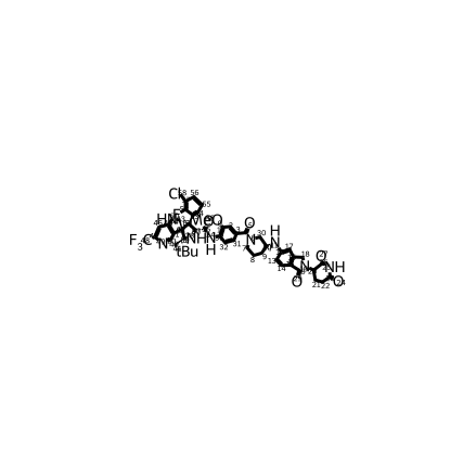 COc1cc(C(=O)N2CCC[C@@H](Nc3ccc4c(c3)CN(C3CCC(=O)NC3=O)C4=O)C2)ccc1NC(=O)[C@@H]1N[C@@H](CC(C)(C)C)[C@@]2(CNc3cc(C(F)(F)F)ncc32)[C@H]1c1cccc(Cl)c1F